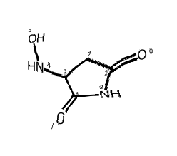 O=C1CC(NO)C(=O)N1